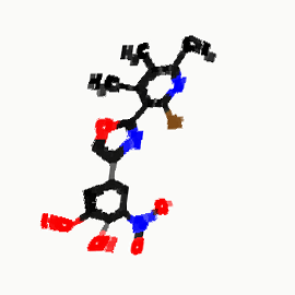 Cc1nc(Br)c(-c2nc(-c3cc(O)c(O)c([N+](=O)[O-])c3)co2)c(C)c1C